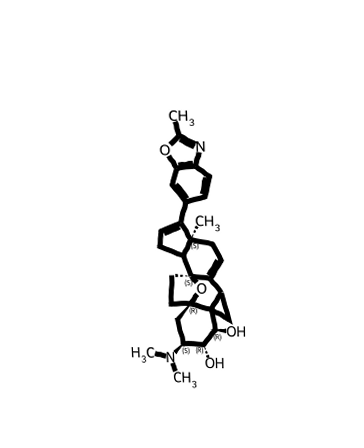 Cc1nc2ccc(C3=CCC4[C@]3(C)CC=C3C5CC56[C@@H](O)[C@H](O)[C@@H](N(C)C)C[C@]65CC[C@@]34O5)cc2o1